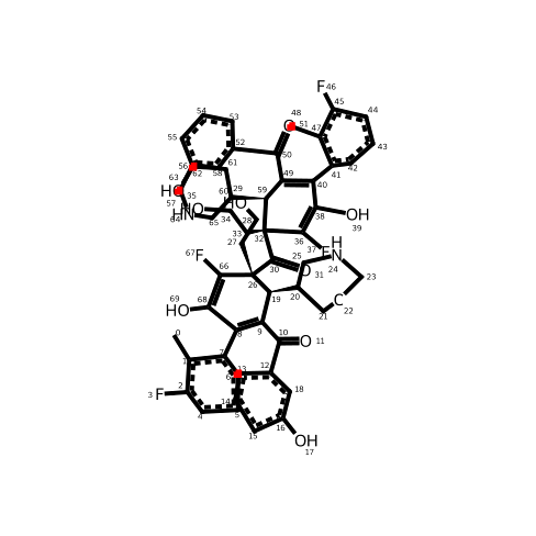 Cc1c(F)cccc1C1=C(C(=O)c2cccc(O)c2)[C@H](C2CCCNC2)[C@@](CCO)(C(=O)[C@@]2(CCO)C(F)=C(O)C(c3cccc(F)c3C)=C(C(=O)c3cccc(O)c3)[C@@H]2C2CCCNC2)C(F)=C1O